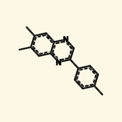 Cc1ccc(-c2cnc3cc(C)c(C)cc3n2)cc1